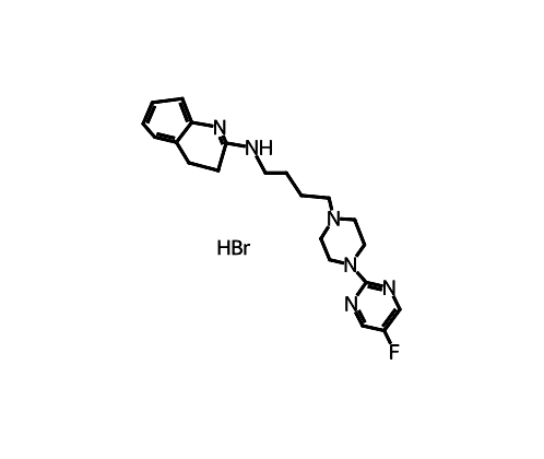 Br.Fc1cnc(N2CCN(CCCCNC3=Nc4ccccc4CC3)CC2)nc1